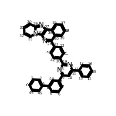 c1ccc(-c2cccc(-c3cc(-c4ccccc4)nc(-c4ccc(-c5nc6c(nc7ccccn76)c6ccccc56)cc4)n3)c2)cc1